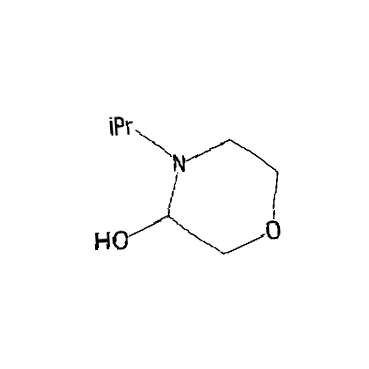 CC(C)N1CCOCC1O